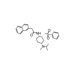 CC(C)N(C)[C@@H]1CC[C@H](NC(=O)Cc2ccc3ccccc3c2)[C@H](CS(=O)(=O)c2ccccc2)C1